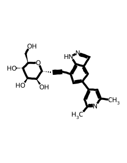 Cc1cc(-c2cc(C#C[C@H]3O[C@H](CO)[C@@H](O)[C@H](O)[C@@H]3O)c3[nH]ncc3c2)cc(C)n1